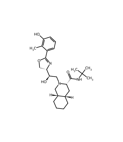 Cc1c(O)cccc1C1=N[C@H]([C@H](O)CN2C[C@H]3CCCC[C@H]3C[C@H]2C(=O)NC(C)(C)C)CO1